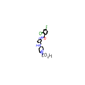 O=C(Nc1cccc(CNC2CCN(C(=O)O)CC2)c1)c1ccc(F)cc1Cl